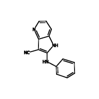 N#Cc1c(Nc2ccccc2)[nH]c2cccnc12